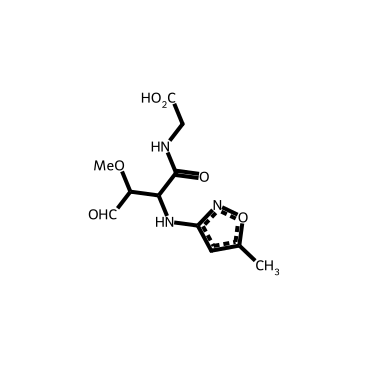 COC(C=O)C(Nc1cc(C)on1)C(=O)NCC(=O)O